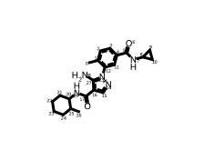 Cc1ccc(C(=O)NC2CC2)cc1-n1ncc(C(=O)NC2CCCCC2C)c1N